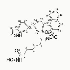 O=C(CCCCCCNS(=O)(=O)c1ccc2ccccc2c1-c1ccc(-c2ccc3cc[nH]c3c2)cc1)NO